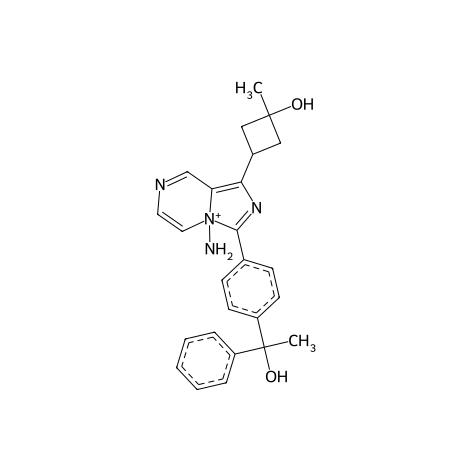 CC1(O)CC(C2=C3C=NC=C[N+]3(N)C(c3ccc(C(C)(O)c4ccccc4)cc3)=N2)C1